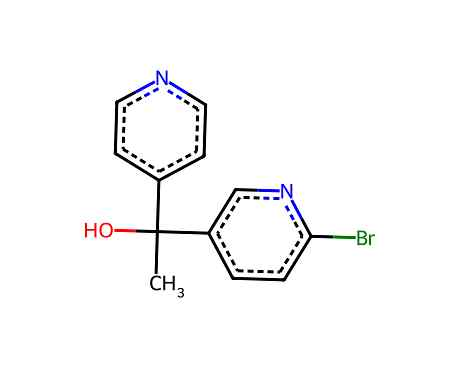 CC(O)(c1ccncc1)c1ccc(Br)nc1